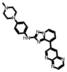 CN1CCN(c2ccc(Nc3nc4c(-c5cnc6nccnc6c5)cccn4n3)cc2)CC1